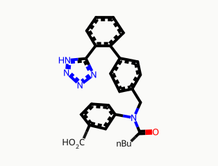 CCCCC(=O)N(Cc1ccc(-c2ccccc2-c2nnn[nH]2)cc1)c1cccc(C(=O)O)c1